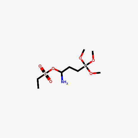 CCS(=O)(=O)OC(N)CC[Si](OC)(OC)OC